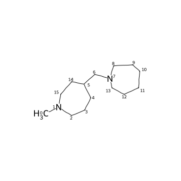 CN1CCCC(CN2CCCCCC2)CC1